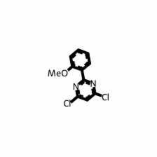 COc1ccccc1-c1nc(Cl)cc(Cl)n1